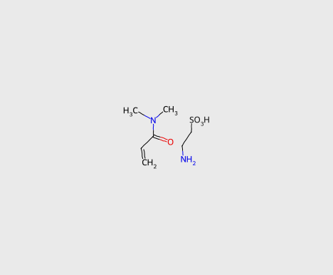 C=CC(=O)N(C)C.NCCS(=O)(=O)O